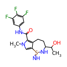 CC(O)C1CCc2c(cn(C)c2C(=O)Nc2cc(F)c(F)c(F)c2)S(=N)N1